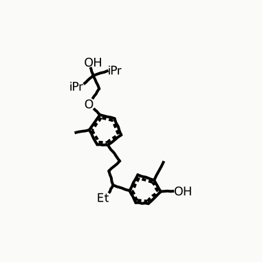 CCC(CCc1ccc(OCC(O)(C(C)C)C(C)C)c(C)c1)c1ccc(O)c(C)c1